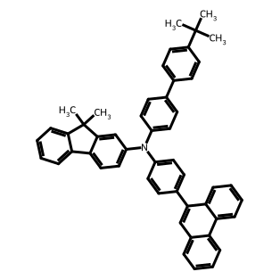 CC(C)(C)c1ccc(-c2ccc(N(c3ccc(-c4cc5ccccc5c5ccccc45)cc3)c3ccc4c(c3)C(C)(C)c3ccccc3-4)cc2)cc1